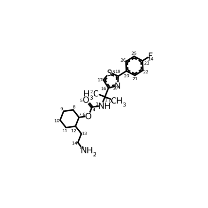 CC(C)(NC(=O)OC1CCCCC1CCN)c1csc(-c2ccc(F)cc2)n1